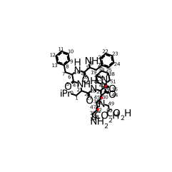 CC(C)CC(NC(=O)C(Cc1ccccc1)NC(=O)C(N)Cc1ccccc1)C(=O)NC(CCCCN)C(=O)N1C2CC1CN(C(=O)CN(CC(=O)O)CC(=O)O)C2